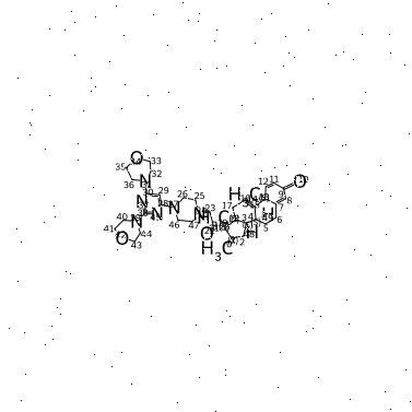 C[C@@H]1C[C@H]2[C@@H]3CCC4=CC(=O)C=C[C@]4(C)C3=CC[C@]2(C)[C@H]1C(=O)CN1CCN(c2cc(N3CCOCC3)nc(N3CCOCC3)n2)CC1